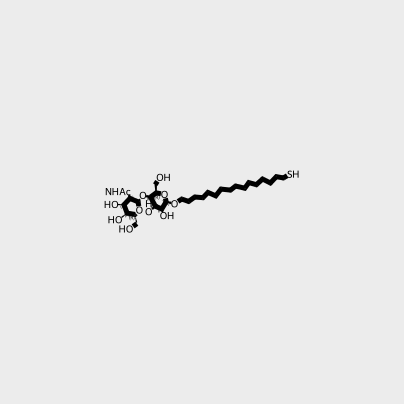 CC(=O)N[C@H]1[C@H](O[C@@H]2[C@H](O)[C@@H](O)[C@H](OCCCCCCCCCCCCCCCCS)O[C@@H]2CO)O[C@H](CO)[C@H](O)[C@@H]1O